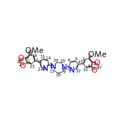 COc1cc(-c2ccc(N3CCCN(c4ccc(-c5cc(OC)c6c(c5)OCO6)cn4)CC3)nc2)cc2c1OCO2